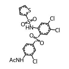 CC(=O)Nc1ccc(S(=O)(=O)c2cc(Cl)c(Cl)cc2NS(=O)(=O)c2cccs2)cc1Cl